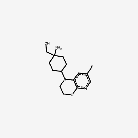 NC1(CO)CCC(N2CCOc3ncc(F)cc32)CC1